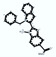 COC(=O)c1ccc2c(c1)nc(-c1cc3ccccc3n1Cc1ccccc1)n2C